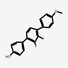 COc1ccc(-c2ccc(-c3ccc(O)cc3)c(F)c2F)cc1